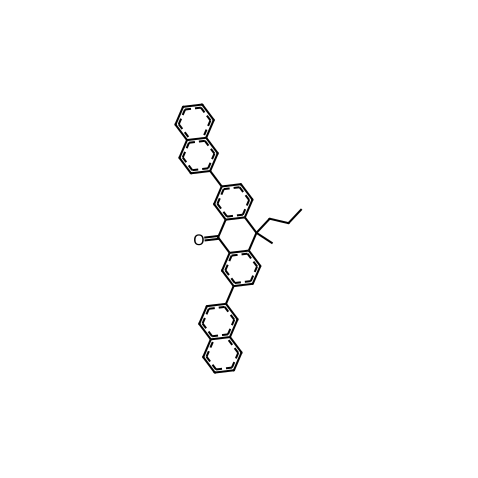 CCCC1(C)c2ccc(-c3ccc4ccccc4c3)cc2C(=O)c2cc(-c3ccc4ccccc4c3)ccc21